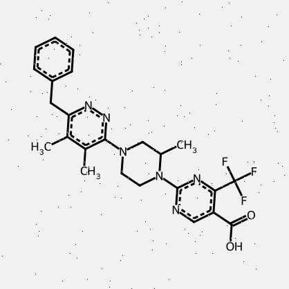 Cc1c(Cc2ccccc2)nnc(N2CCN(c3ncc(C(=O)O)c(C(F)(F)F)n3)C(C)C2)c1C